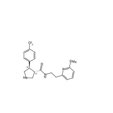 COc1cccc(CCNC(=O)[C@@H]2CNC[C@H]2c2ccc(C(F)(F)F)cc2)n1